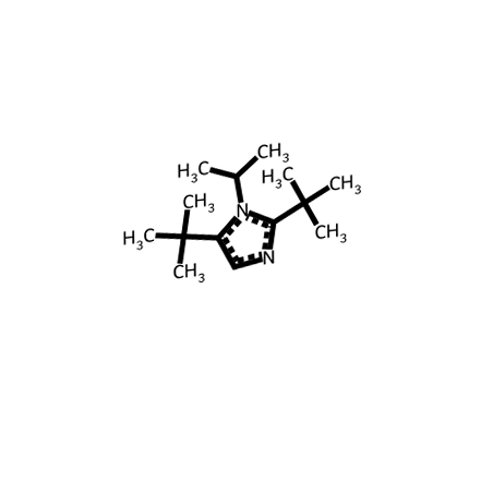 CC(C)n1c(C(C)(C)C)cnc1C(C)(C)C